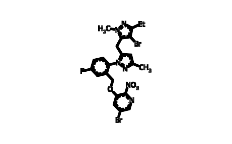 CCc1nn(C)c(Cc2cc(C)nn2-c2ccc(F)cc2COc2cc(Br)cnc2[N+](=O)[O-])c1Br